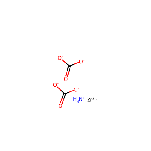 O=C([O-])[O-].O=C([O-])[O-].[NH4+].[Zr+3]